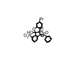 CC(C)c1ccc2c(c1)OC1(O)c3c(cccc3[N+](=O)[O-])C(=O)C21NS(=O)(=O)c1ccccc1